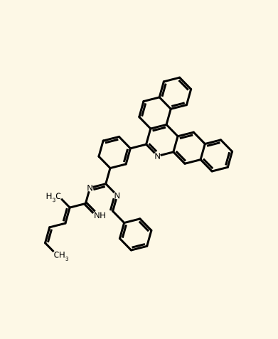 C/C=C\C=C(/C)C(=N)/N=C(\N=C\c1ccccc1)C1C=C(c2nc3cc4ccccc4cc3c3c2ccc2ccccc23)C=CC1